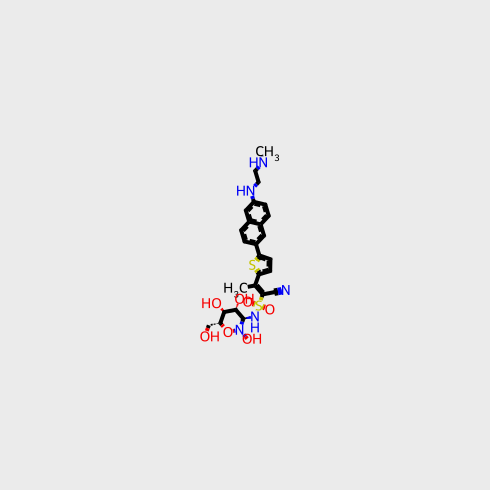 CNCCNc1ccc2cc(-c3ccc(/C(C)=C(\C#N)S(=O)(=O)N[C@@H]4[C@@H](O)[C@H](O)[C@@H](CO)ON4O)s3)ccc2c1